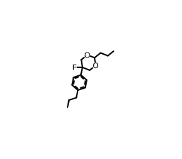 CCCc1ccc(C2(F)COC(CCC)OC2)cc1